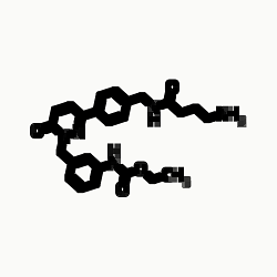 CCOC(=O)Nc1cccc(Cn2nc(-c3ccc(CNC(=O)CCCN)cc3)ccc2=O)c1